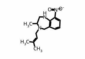 CC(C)=CCN1Cc2cccc([N+](=O)[O-])c2NCC1C